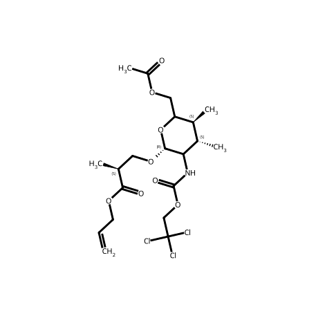 C=CCOC(=O)[C@@H](C)CO[C@@H]1OC(COC(C)=O)[C@@H](C)[C@H](C)C1NC(=O)OCC(Cl)(Cl)Cl